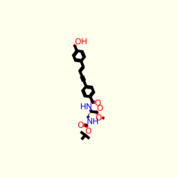 COC(=O)[C@H](CNC(=O)OC(C)(C)C)NC(=O)c1ccc(C#CC=Cc2ccc(CO)cc2)cc1